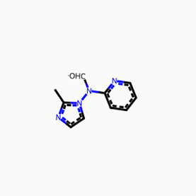 Cc1nccn1N([C]=O)c1ccccn1